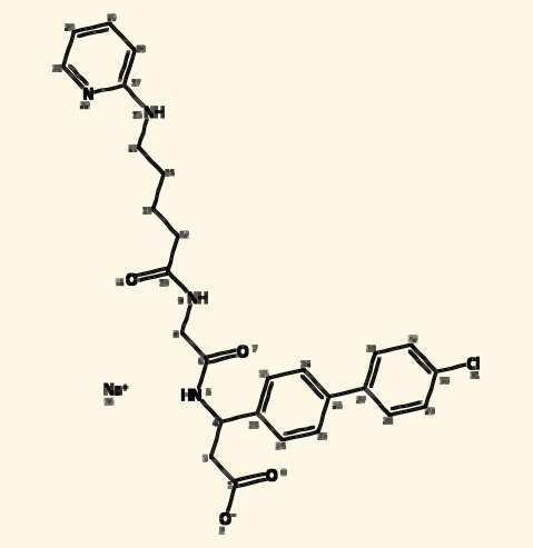 O=C([O-])CC(NC(=O)CNC(=O)CCCCNc1ccccn1)c1ccc(-c2ccc(Cl)cc2)cc1.[Na+]